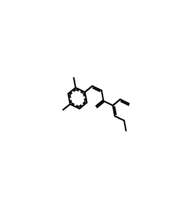 C=C/C(=C\CC)C(=C)/C=C\c1ccc(C)cc1C